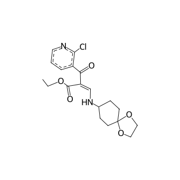 CCOC(=O)C(=CNC1CCC2(CC1)OCCO2)C(=O)c1cccnc1Cl